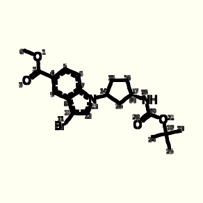 COC(=O)c1ccc2c(c1)c(Br)cn2C1CC[C@@H](NC(=O)OC(C)(C)C)C1